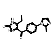 CCc1[nH]c(=O)[nH]c1C(=O)c1ccc(-n2ccnc2C)cc1